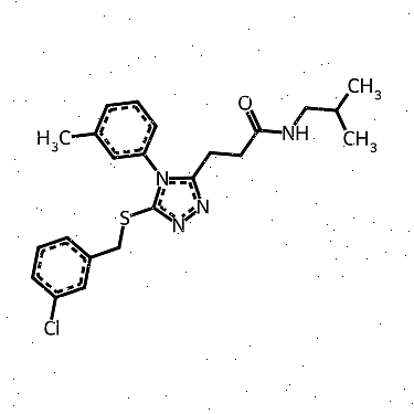 Cc1cccc(-n2c(CCC(=O)NCC(C)C)nnc2SCc2cccc(Cl)c2)c1